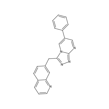 c1ccc(-c2cnc3nnc(Cc4ccc5cccnc5c4)n3c2)cc1